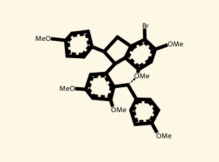 COc1ccc(C2Cc3c(Br)c(OC)cc(OC)c3C2c2cc(OC)cc(OC)c2[C@H](C)c2ccc(OC)cc2)cc1